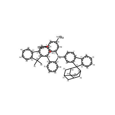 CC(C)(C)c1cc(N(c2ccc3c(c2)C2(c4ccccc4-3)C3CC4CC(C3)CC2C4)c2ccccc2-c2cccc3c2C(C)(C)c2ccccc2-3)cc(C(C)(C)C)c1